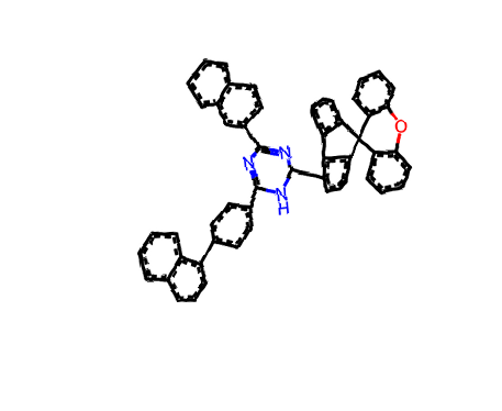 c1ccc2c(c1)Oc1ccccc1C21c2ccccc2-c2c(C3N=C(c4ccc5ccccc5c4)N=C(c4ccc(-c5cccc6ccccc56)cc4)N3)cccc21